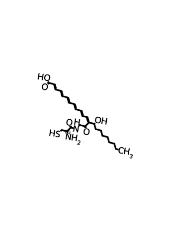 CCCCCCCCC(O)C(=CC=CC=CC=CC=CC=CC(=O)O)C(=O)CNC(=O)[C@@H](N)CS